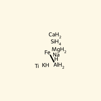 [AlH2][Fe].[CaH2].[KH].[MgH2].[NaH].[SiH4].[Ti]